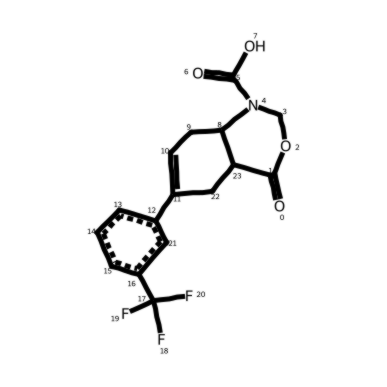 O=C1OCN(C(=O)O)C2CC=C(c3cccc(C(F)(F)F)c3)CC12